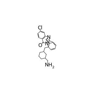 NCC1CCCC(CC23C=CC=C(C2=S)c2nc4cc(Cl)ccc4c(=O)n23)C1